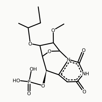 CCC(C)OC1C(OC)C2OC1[C@H](OP(=O)(O)O)c1cc(=O)[nH]c(=O)n12